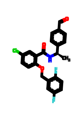 C[C@H](NC(=O)c1cc(Cl)ccc1OCc1cc(F)ccc1F)c1ccc(C=O)cc1